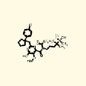 CCCCOc1c(O)nc(CC2(c3ccc(Cl)cc3)CCCC2)nc1C(=O)N(CCCC(C)(C)[Si](C)(C)O)C(C)C(F)(F)F